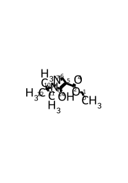 CCOC(=O)c1cnn(C(C)(C)C)c1O